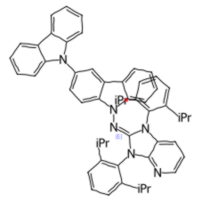 CC(C)c1cccc(C(C)C)c1-n1/c(=N\n2c3ccccc3c3cc(-n4c5ccccc5c5ccccc54)ccc32)n(-c2c(C(C)C)cccc2C(C)C)c2ncccc21